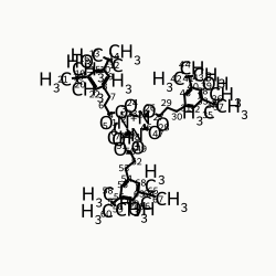 CC[N+]1(OC(=O)CCc2cc(C(C)(C)C)c(O)c(C(C)(C)C)c2)C(=O)N(OC(=O)CCc2cc(C(C)(C)C)c(O)c(C(C)(C)C)c2)C(=O)N(OC(=O)CCc2cc(C(C)(C)C)c(O)c(C(C)(C)C)c2)C1=O